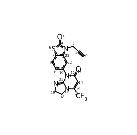 C#CCn1c(=O)sc2ccc(N3C(=O)C=C(C(F)(F)F)N4CCN=C43)cc21